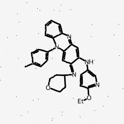 CCOc1ccc(Nc2cc3nc4ccccc4n(-c4ccc(C)cc4)c-3cc2=NC2CCOCC2)cn1